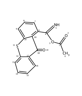 CC(=O)OC(=N)c1cccc2sc3ccccc3c(=O)c12